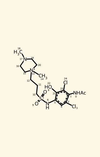 CC(=O)Nc1c(Cl)cc(NS(=O)(=O)CCC[N+]2(C)CCN(C)CC2)c(O)c1Cl